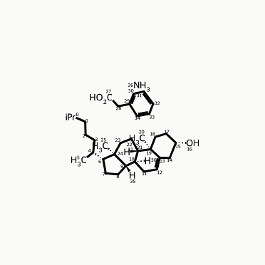 CC(C)CCCC(C)[C@H]1CC[C@H]2[C@@H]3CC=C4C[C@@H](O)CC[C@]4(C)[C@H]3CC[C@]12C.N.O=C(O)Cc1ccccc1